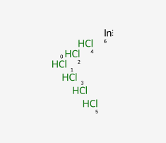 Cl.Cl.Cl.Cl.Cl.Cl.[In]